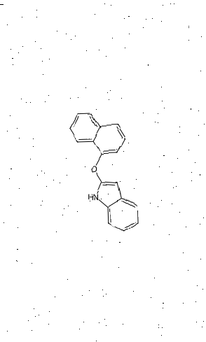 c1ccc2[nH]c(Oc3cccc4ccccc34)cc2c1